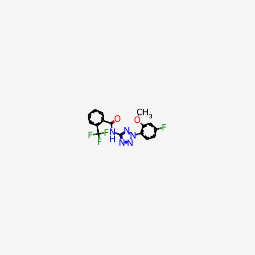 COc1cc(F)ccc1-n1nnc(NC(=O)c2ccccc2C(F)(F)F)n1